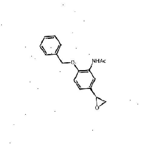 CC(=O)Nc1cc([C@H]2CO2)ccc1OCc1ccccc1